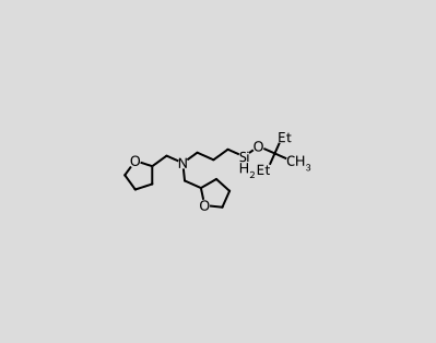 CCC(C)(CC)O[SiH2]CCCN(CC1CCCO1)CC1CCCO1